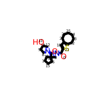 O=C(NCC1(C(=O)N2CCC(O)C2)CCCC1)c1cc2c(s1)CCCCCC2